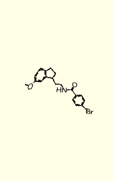 COc1ccc2c(c1)C(CCNC(=O)c1ccc(Br)cc1)CC2